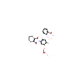 CC(C)N1C(=O)c2ccccc2NS1(=O)=O.CCCCCOC(=O)COc1cc(N2C(=O)C3=C(CCCC3)C2=O)c(F)cc1Cl